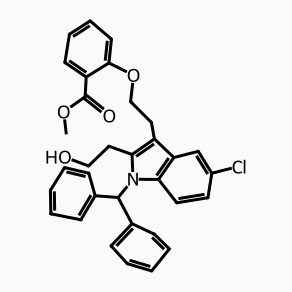 COC(=O)c1ccccc1OCCc1c(CCO)n(C(c2ccccc2)c2ccccc2)c2ccc(Cl)cc12